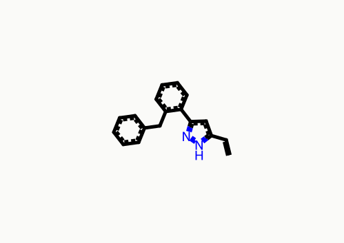 C=Cc1cc(-c2ccccc2Cc2ccccc2)n[nH]1